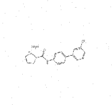 O=C(O)[C@H]1CCCN1C(=O)Nc1ccc(-c2cccc(C(F)(F)F)c2)cc1